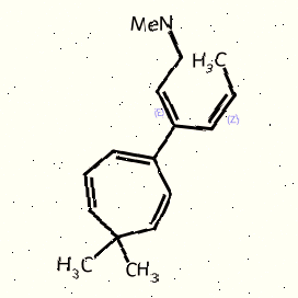 C/C=C\C(=C/CNC)C1=CC=CC(C)(C)C=C1